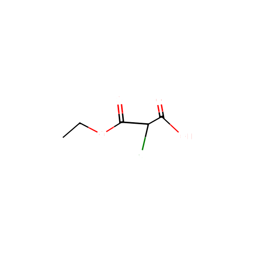 CCOC(=O)C(Cl)C(=O)O